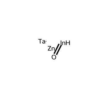 [O]=[InH].[Ta].[Zn]